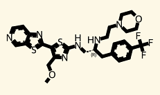 COCc1nc(NC[C@@H](Cc2ccc(C(F)(F)F)cc2)NCCN2CCOCC2)sc1-c1nc2ccncc2s1